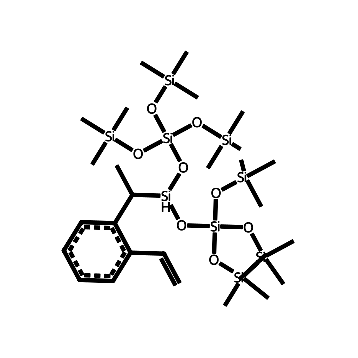 C=Cc1ccccc1C(C)[SiH](O[Si](O[Si](C)(C)C)(O[Si](C)(C)C)O[Si](C)(C)C)O[Si](O[Si](C)(C)C)(O[Si](C)(C)C)O[Si](C)(C)C